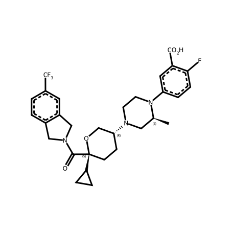 C[C@H]1CN([C@@H]2CC[C@@](C(=O)N3Cc4ccc(C(F)(F)F)cc4C3)(C3CC3)OC2)CCN1c1ccc(F)c(C(=O)O)c1